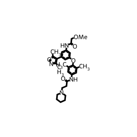 COCC(=O)Nc1cc(Oc2c(C)cc(NC(=O)CCN3CCCCC3)cc2C)cc(-c2c(C)noc2C)c1